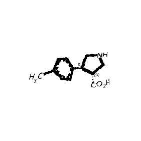 Cc1ccc([C@H]2CNC[C@@H]2C(=O)O)cc1